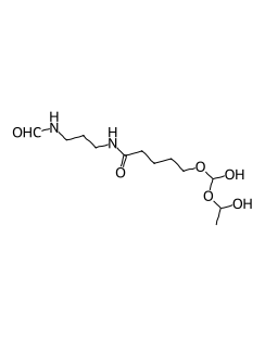 CC(O)OC(O)OCCCCC(=O)NCCCNC=O